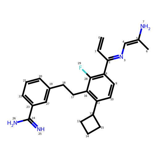 C=C/C(=N\C=C(/C)N)c1ccc(C2CCC2)c(CCc2cccc(C(=N)N)c2)c1F